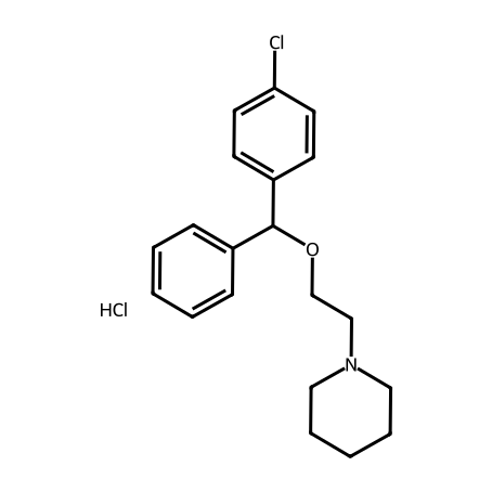 Cl.Clc1ccc(C(OCCN2CCCCC2)c2ccccc2)cc1